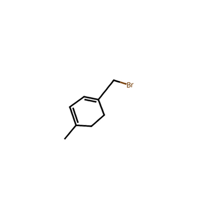 CC1=CC=C(CBr)CC1